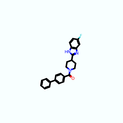 O=C(c1ccc(-c2ccccc2)cc1)N1CCC(c2nc3cc(F)ccc3[nH]2)CC1